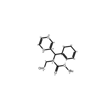 CC(C)(C)OC(=O)N(CC=O)C(C1=CC=CCC1)C1=COC=CO1